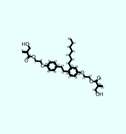 C=C(CO)C(=O)OCCOc1ccc(CCc2ccc(OCCOC(=O)C(=C)CO)cc2CCCCCCC)cc1